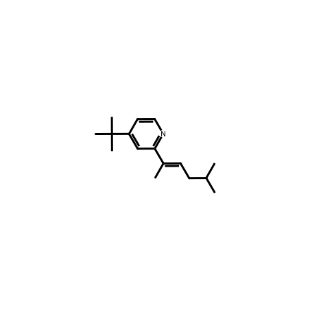 C/C(=C\CC(C)C)c1cc(C(C)(C)C)ccn1